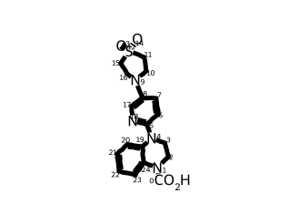 O=C(O)N1CCN(c2ccc(N3CCS(=O)(=O)CC3)cn2)c2ccccc21